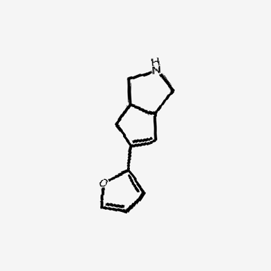 C1=C(c2ccco2)CC2CNCC12